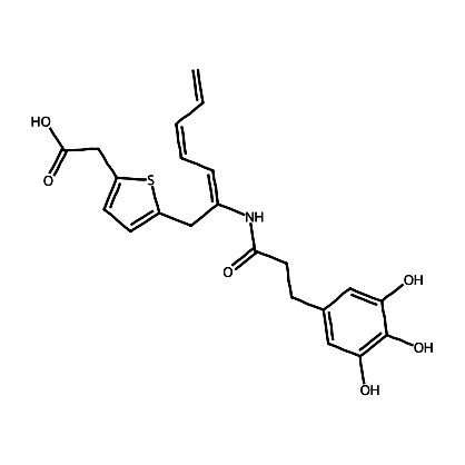 C=C/C=C\C=C(/Cc1ccc(CC(=O)O)s1)NC(=O)CCc1cc(O)c(O)c(O)c1